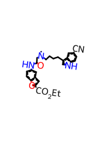 CCOC(=O)c1cc2cc(NC(=O)CN(C)CCCCc3c[nH]c4ccc(C#N)cc34)ccc2o1